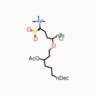 CCCCCCCCCCCCCC(CCOC(CCC)CCC(=S(=O)=O)[N+](C)(C)C)OC(C)=O.[Cl-]